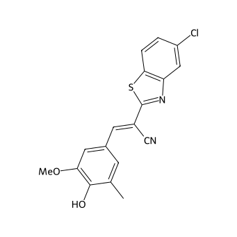 COc1cc(/C=C(\C#N)c2nc3cc(Cl)ccc3s2)cc(C)c1O